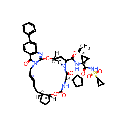 C=C[C@@H]1C[C@]1(NC(=O)C1C[C@@H]2CN1C(=O)[C@H](C1CCCC1)NC(=O)O[C@@H]1CCC[C@H]1CC/C=C/Cn1c(nc3cc(-c4ccccc4)ccc3c1=O)O2)C(=O)NS(=O)(=O)C1CC1